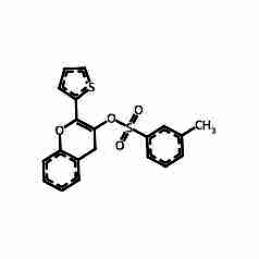 Cc1cccc(S(=O)(=O)OC2=C(c3cccs3)Oc3ccccc3C2)c1